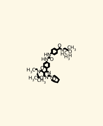 CCN1CC(C)(C)Oc2nc(N3CC4CCC(C3)O4)nc(-c3ccc(NC(=O)Nc4ccc(C(=O)NCC(C)(C)O)cc4)cc3)c2C1=O